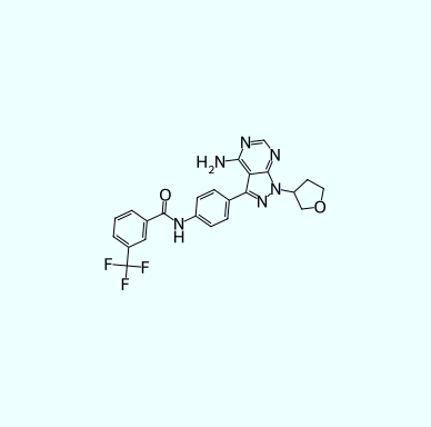 Nc1ncnc2c1c(-c1ccc(NC(=O)c3cccc(C(F)(F)F)c3)cc1)nn2C1CCOC1